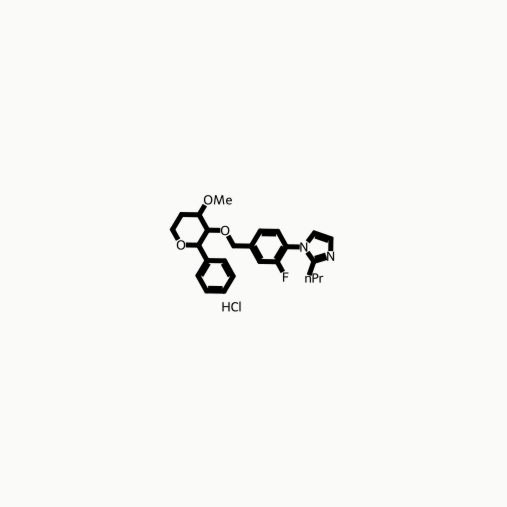 CCCc1nccn1-c1ccc(COC2C(OC)CCOC2c2ccccc2)cc1F.Cl